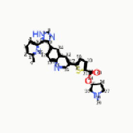 Cc1cccc(-c2[nH]cnc2-c2ccc3ncc(-c4ccc(C(=O)OC5CCN(C)C5)s4)cc3c2)n1